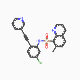 Cc1ccc2cccnc2c1S(=O)(=O)Nc1cc(Br)ccc1C#Cc1cccnc1